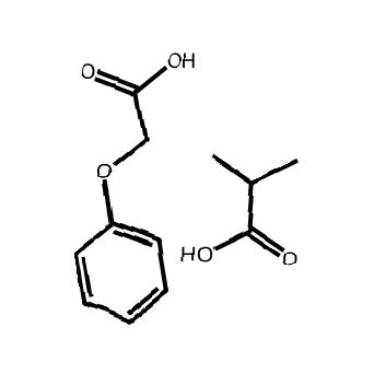 CC(C)C(=O)O.O=C(O)COc1ccccc1